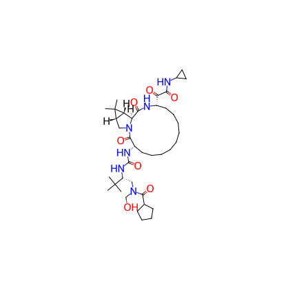 CC(C)(C)[C@@H](CN(CO)C(=O)C1CCCC1)NC(=O)N[C@H]1CCCCCCCCC[C@@H](C(=O)C(=O)NC2CC2)NC(=O)[C@@H]2[C@@H]3[C@H](CN2C1=O)C3(C)C